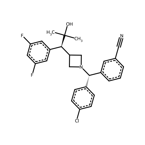 CC(C)(O)[C@H](c1cc(F)cc(F)c1)C1CN([C@@H](c2ccc(Cl)cc2)c2cccc(C#N)c2)C1